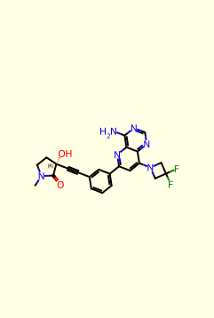 CN1CC[C@@](O)(C#Cc2cccc(-c3cc(N4CC(F)(F)C4)c4ncnc(N)c4n3)c2)C1=O